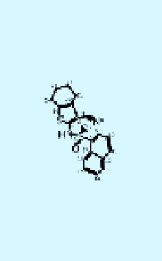 N#Cc1c(NS(=O)(=O)c2cccc3ccccc23)sc2c1CCCC2